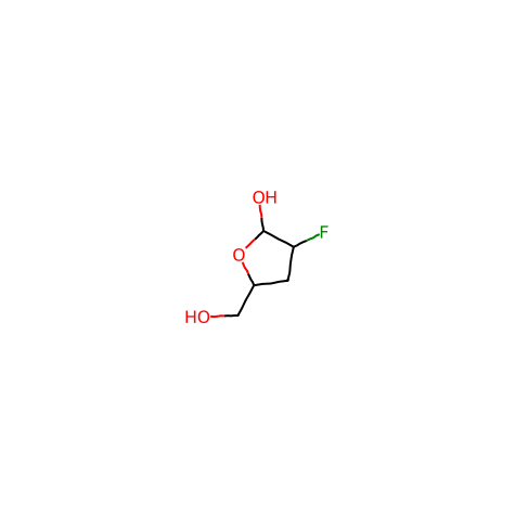 OCC1CC(F)C(O)O1